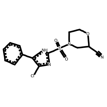 N#CC1CN(S(=O)(=O)c2nc(Cl)c(-c3ccccc3)[nH]2)CCO1